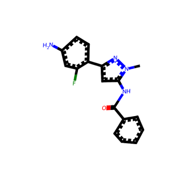 Cn1nc(-c2ccc(N)cc2F)cc1NC(=O)c1ccccc1